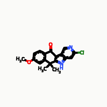 COc1ccc2c(c1)C(C)(C)c1[nH]c3cc(Cl)ncc3c1C2=O